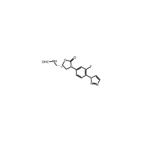 O=CNC[C@H]1CN(c2ccc(-n3ccnn3)c(F)c2)C(=O)O1